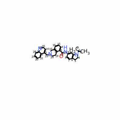 C=C(C)N1CCc2ccc(NC(=O)c3cccc4c3CCN(Cc3ccnc5ccccc35)C4)cc21